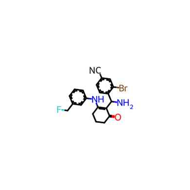 N#Cc1ccc(C(N)C2=C(Nc3cccc(CF)c3)CCCC2=O)c(Br)c1